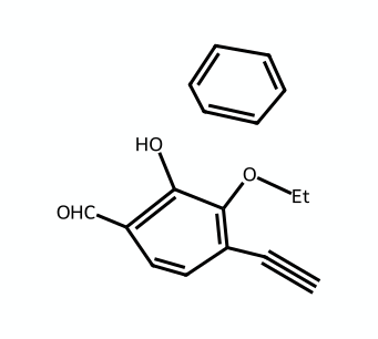 C#Cc1ccc(C=O)c(O)c1OCC.c1ccccc1